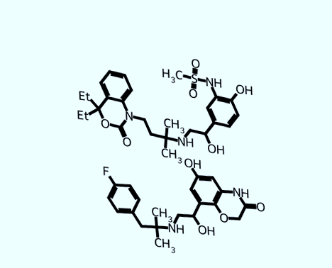 CC(C)(Cc1ccc(F)cc1)NCC(O)c1cc(O)cc2c1OCC(=O)N2.CCC1(CC)OC(=O)N(CCC(C)(C)NCC(O)c2ccc(O)c(NS(C)(=O)=O)c2)c2ccccc21